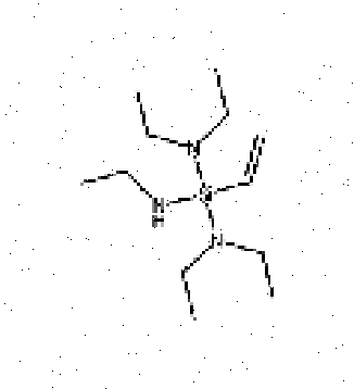 C=C[Si](NCC)(N(CC)CC)N(CC)CC